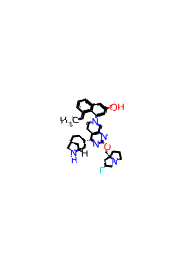 CCc1cccc2cc(O)cc(N3CCc4c(nc(OC[C@@]56CCCN5C[C@@H](F)C6)nc4[C@H]4CCC5CN[C@H](C5)C4)C3)c12